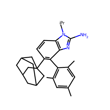 Cc1cc(C)c(-c2c(C34CC5CC(CC(C5)C3)C4)ccc3c2nc(N)n3C(C)C)c(C)c1